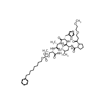 COCCOCCC(=O)N1CCC[C@H]1C(=O)N[C@@H](CC(C)C)C(=O)N[C@@H](Cc1cnc[nH]1)C(=O)N[C@@H](C)C(=O)N[C@H](C(N)=O)[C@@H](C)OP(=O)(O)OCCCCCCCCc1ccccc1